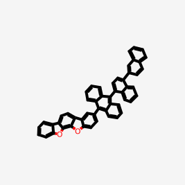 c1ccc2cc(-c3ccc(-c4c5ccccc5c(-c5ccc6oc7c(ccc8c9ccccc9oc87)c6c5)c5ccccc45)c4ccccc34)ccc2c1